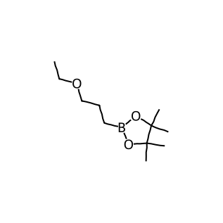 CCOCCCB1OC(C)(C)C(C)(C)O1